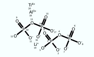 O=P([O-])([O-])OP(=O)([O-])[O-].O=P([O-])([O-])OP(=O)([O-])[O-].[Al+3].[Li+].[Ti+4]